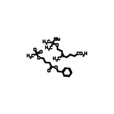 CN(CCCC(=O)O)CCO[Si](C)(C)C(C)(C)C.CS(=O)(=O)OCCCC(=O)OCc1ccccc1